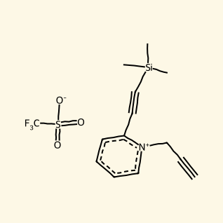 C#CC[n+]1ccccc1C#C[Si](C)(C)C.O=S(=O)([O-])C(F)(F)F